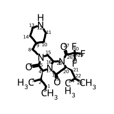 CCC(C)[C@H]1C(=O)N(CC2CCNCC2)CC2N1C(=O)[C@H](CC(C)C)N2C(=O)C(F)(F)F